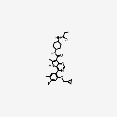 CCC(=O)N[C@H]1CC[C@@H](NC(=O)c2c(C)[nH]c3c(-c4cc(C)c(F)cc4OCC4CC4)ncnc23)CC1